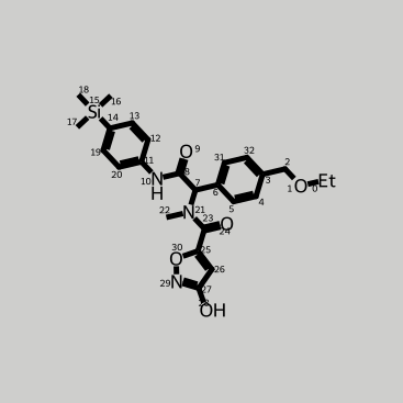 CCOCc1ccc(C(C(=O)Nc2ccc([Si](C)(C)C)cc2)N(C)C(=O)c2cc(O)no2)cc1